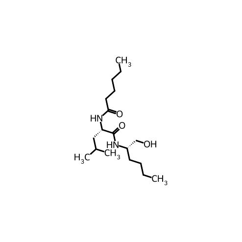 CCCCCC(=O)N[C@@H](CC(C)C)C(=O)N[C@H](CO)CCCC